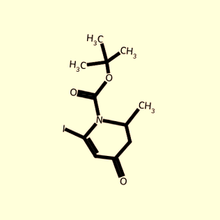 CC1CC(=O)C=C(I)N1C(=O)OC(C)(C)C